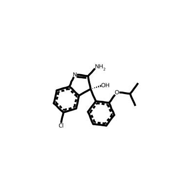 CC(C)Oc1ccccc1[C@]1(O)C(N)=Nc2ccc(Cl)cc21